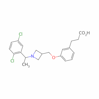 CC(c1cc(Cl)ccc1Cl)N1CC(COc2cccc(CCC(=O)O)c2)C1